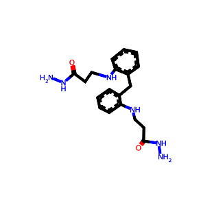 NNC(=O)CCNc1ccccc1Cc1ccccc1NCCC(=O)NN